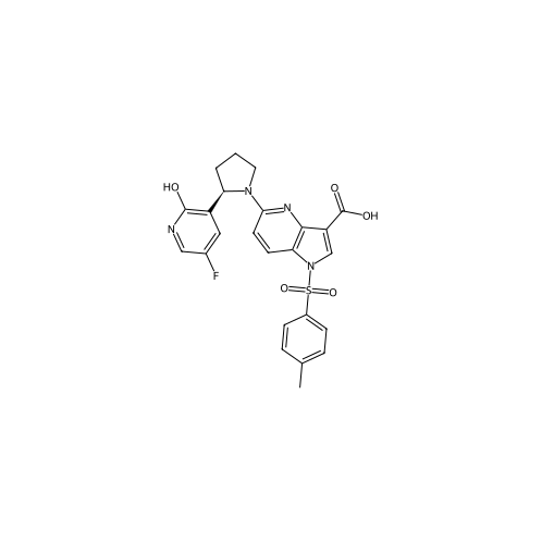 Cc1ccc(S(=O)(=O)n2cc(C(=O)O)c3nc(N4CCC[C@@H]4c4cc(F)cnc4O)ccc32)cc1